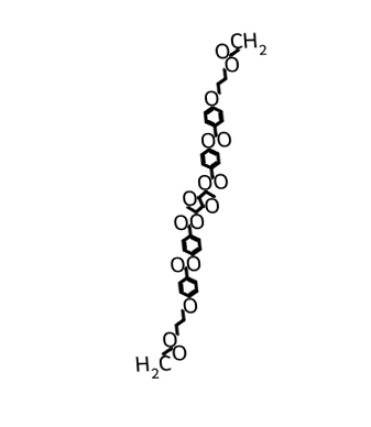 C=CC(=O)OCCCCOc1ccc(C(=O)Oc2ccc(C(=O)OC3COC4C(OC(=O)c5ccc(OC(=O)c6ccc(OCCCCOC(=O)C=C)cc6)cc5)COC34)cc2)cc1